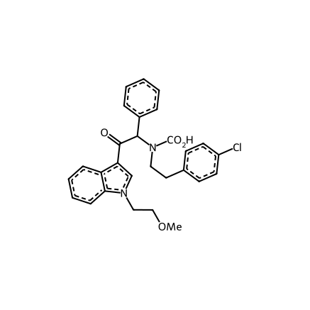 COCCn1cc(C(=O)C(c2ccccc2)N(CCc2ccc(Cl)cc2)C(=O)O)c2ccccc21